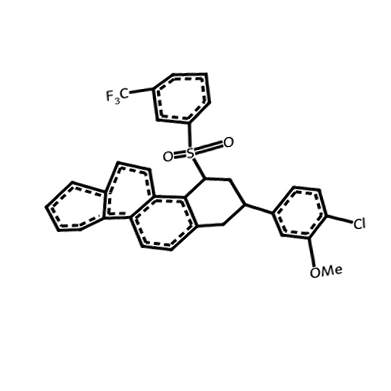 COc1cc(C2Cc3ccc4c(ccc5ccccc54)c3C(S(=O)(=O)c3cccc(C(F)(F)F)c3)C2)ccc1Cl